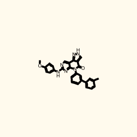 COc1ccc(Nc2ncc3c4n[nH]cc4c(=O)n(-c4cccc(-c5cccc(C)c5)c4)c3n2)cc1